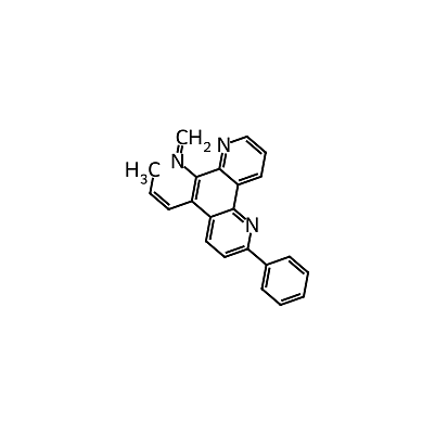 C=Nc1c(/C=C\C)c2ccc(-c3ccccc3)nc2c2cccnc12